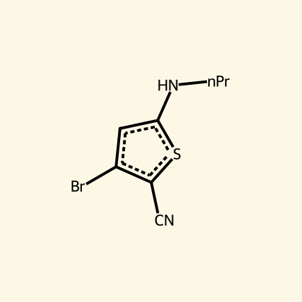 CCCNc1cc(Br)c(C#N)s1